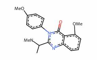 CNC(C)c1nc2cccc(OC)c2c(=O)n1-c1ccc(OC)cc1